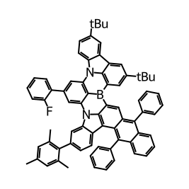 Cc1cc(C)c(-c2ccc3c4c5c(-c6ccccc6)c6ccccc6c(-c6ccccc6)c5cc5c4n(c3c2)-c2cc(-c3ccccc3F)cc3c2B5c2cc(C(C)(C)C)cc4c5cc(C(C)(C)C)ccc5n-3c24)c(C)c1